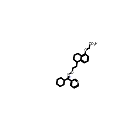 O=C(O)COc1cccc2c1CCCC2CCO/N=C(\c1cccnc1)C1CCCCC1